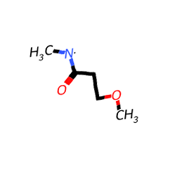 C[N]C(=O)CCOC